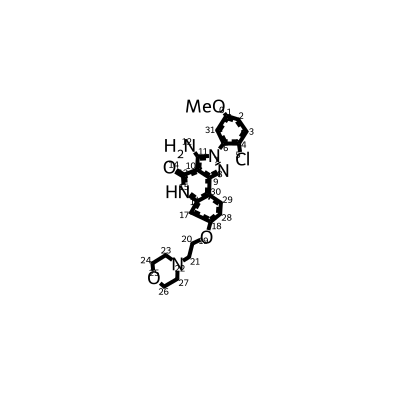 COc1ccc(Cl)c(-n2nc3c(c2N)c(=O)[nH]c2cc(OCCN4CCOCC4)ccc23)c1